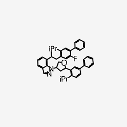 CC(C)c1cc(-c2ccccc2)c(F)cc1CC(C)c1cccc2cnn(C3COC(c4cc(-c5ccccc5)ccc4C(C)C)C3)c12